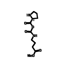 COC(=O)CCCNC(=O)OC(=O)[C@@H]1CCCN1